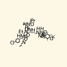 C=CCN(C)C(=O)[C@H](NC(=O)[C@H](CC)NC(=O)[C@H](CCCNC(=N)NS(=O)(=O)c1c(C)c(C)c2c(c1C)CC(C)(C)O2)NC(=O)[C@@](C)(CC=C)NC(=O)C(C)C)c1ccc(Cl)cc1